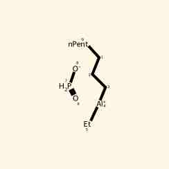 CCCCCCC[CH2][Al+][CH2]C.O=[PH2][O-]